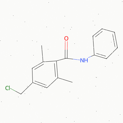 Cc1cc(CCl)cc(C)c1C(=O)Nc1ccccc1